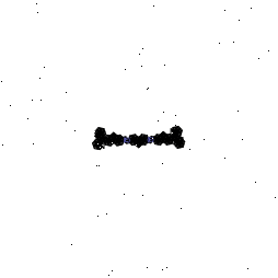 Cc1ccccc1N(c1ccc2c(c1)C(C)(C)c1cc(/C=C/c3ccc4c(c3)C(C)(C)c3cc(/C=C/c5ccc6c(c5)C(C)(C)c5cc(N(c7ccccn7)c7ccccc7C)ccc5-6)ccc3-4)ccc1-2)c1ccccn1